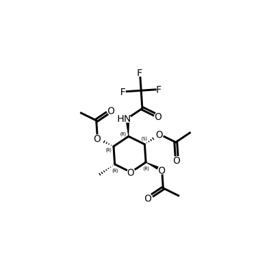 CC(=O)O[C@H]1O[C@H](C)[C@H](OC(C)=O)[C@@H](NC(=O)C(F)(F)F)[C@@H]1OC(C)=O